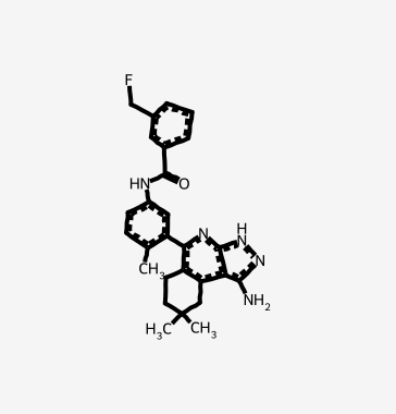 Cc1ccc(NC(=O)c2cccc(CF)c2)cc1-c1nc2[nH]nc(N)c2c2c1CCC(C)(C)C2